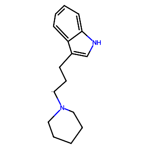 [CH](CCc1c[nH]c2ccccc12)N1CCCCC1